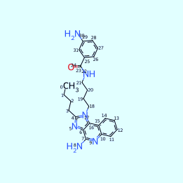 CCCCc1nc2c(N)nc3ccccc3c2n1CCCCNC(=O)c1cccc(N)c1